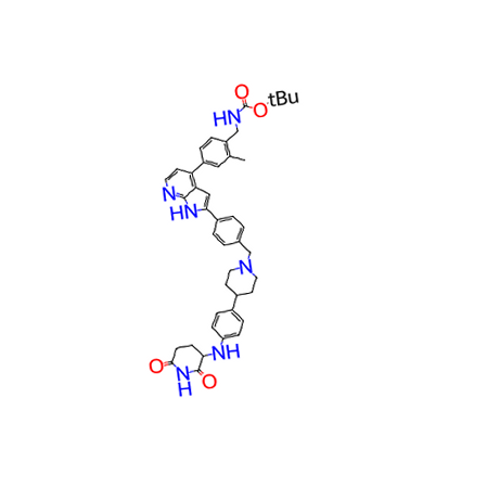 Cc1cc(-c2ccnc3[nH]c(-c4ccc(CN5CCC(c6ccc(NC7CCC(=O)NC7=O)cc6)CC5)cc4)cc23)ccc1CNC(=O)OC(C)(C)C